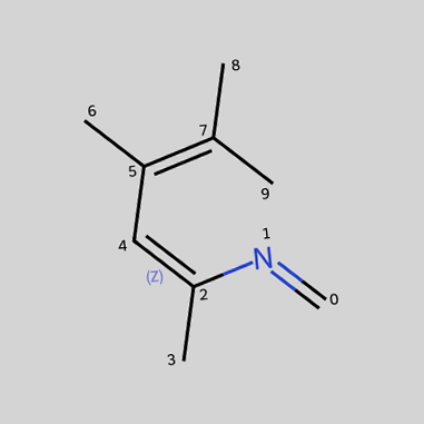 C=N/C(C)=C\C(C)=C(C)C